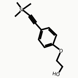 C[Si](C)(C)C#Cc1ccc(OCCO)cc1